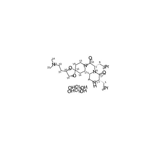 CC(C)C[C@@H]1NCCN([C@@H](CC(C)C)C(=O)N2CCC3(CC2)OCC(CCN(C)C)O3)C1=O.O=CO.O=CO